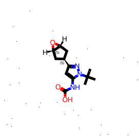 CC(C)(C)n1nc([C@H]2C[C@@H]3O[C@@H]3C2)cc1NC(=O)O